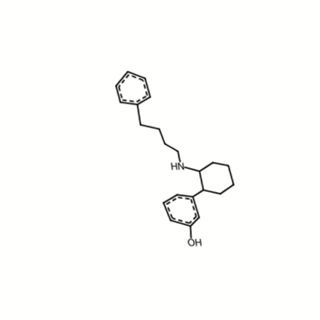 Oc1cccc(C2CCCCC2NCCCCc2ccccc2)c1